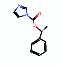 C[C@H](OC(=O)n1ccnc1)c1ccccc1